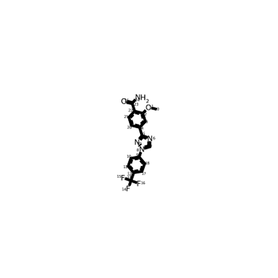 COc1cc(-c2ncn(-c3ccc(C(F)(F)F)cc3)n2)ccc1C(N)=O